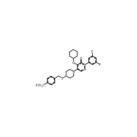 CCOC(=O)c1ccc(CSN2CCN(c3cnn(-c4cc(F)cc(F)c4)c(=O)c3OC3CCCCC3)CC2)cc1